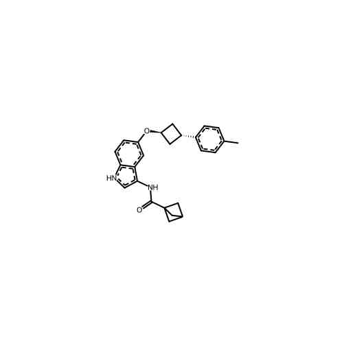 Cc1ccc([C@H]2C[C@H](Oc3ccc4[nH]cc(NC(=O)C56CC(C5)C6)c4c3)C2)cc1